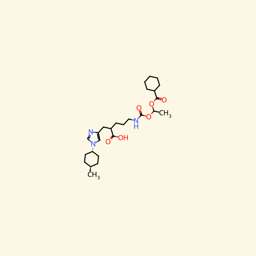 CC(OC(=O)NCCCC(Cc1cn([C@H]2CC[C@H](C)CC2)cn1)C(=O)O)OC(=O)C1CCCCC1